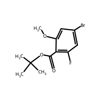 COc1cc(Br)cc(F)c1C(=O)OC(C)(C)C